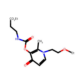 CCOCCn1ccc(=O)c(OC(=O)NCCC(=O)OCC)c1C